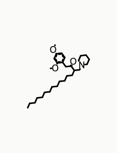 CCCCCCCCCCCCCC(CN1CCCCC1)C(=O)Cc1ccc(OC)cc1OC